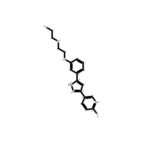 FCCOCCOc1cccc(-c2cc(-c3ccc(F)nc3)n[nH]2)c1